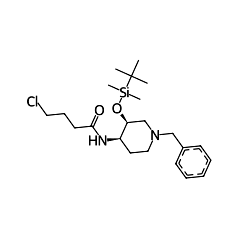 CC(C)(C)[Si](C)(C)O[C@H]1CN(Cc2ccccc2)CC[C@H]1NC(=O)CCCCl